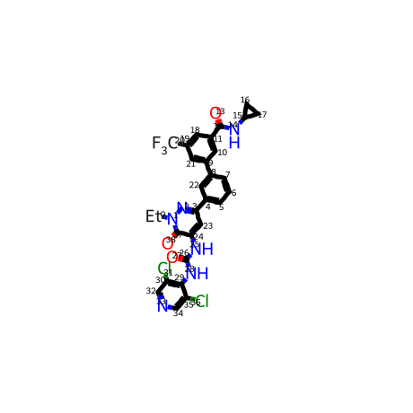 CCn1nc(-c2cccc(-c3cc(C(=O)NC4CC4)cc(C(F)(F)F)c3)c2)cc(NC(=O)Nc2c(Cl)cncc2Cl)c1=O